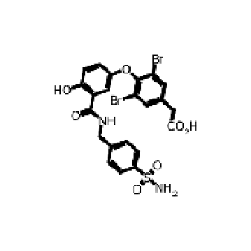 NS(=O)(=O)c1ccc(CNC(=O)c2cc(Oc3c(Br)cc(CC(=O)O)cc3Br)ccc2O)cc1